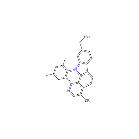 Cc1cc(C)c2c(c1)c1ncc(C(F)(F)F)c3ccc4c5ccc(CC(C)(C)C)cc5n2c4c31